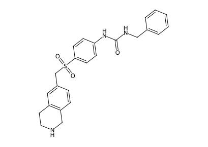 O=C(NCc1ccccc1)Nc1ccc(S(=O)(=O)Cc2ccc3c(c2)CCNC3)cc1